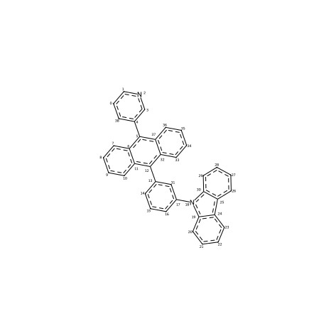 c1cncc(-c2c3ccccc3c(-c3cccc(-n4c5ccccc5c5ccccc54)c3)c3ccccc23)c1